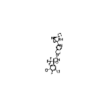 N#CC1(NC(=O)c2cc3c(cn2)CN(C2=NOC(c4cc(Cl)c(F)c(Cl)c4)(C(F)(F)F)C2)C3)CCC1